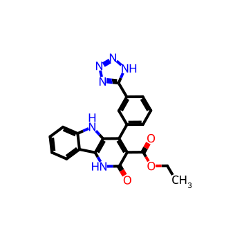 CCOC(=O)c1c(-c2cccc(-c3nnn[nH]3)c2)c2[nH]c3ccccc3c2[nH]c1=O